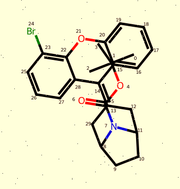 CC(C)(C)OC(=O)N1C2CCC1CC(=C1c3ccccc3Oc3c(Br)cccc31)C2